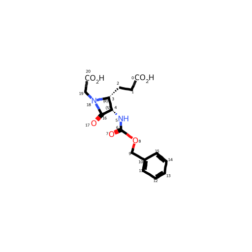 O=C(O)CC[C@@H]1[C@H](NC(=O)OCc2ccccc2)C(=O)N1CC(=O)O